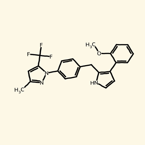 COc1ccccc1-c1cc[nH]c1Cc1ccc(-n2nc(C)cc2C(F)(F)F)cc1